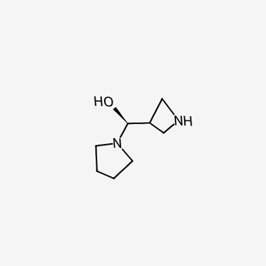 O[C@@H](C1CNC1)N1CCCC1